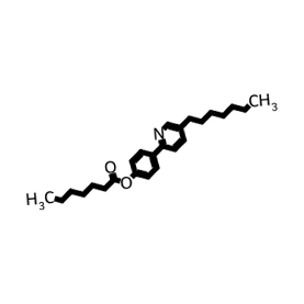 CCCCCCCc1ccc(-c2ccc(OC(=O)CCCCCC)cc2)nc1